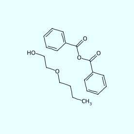 CCCCOCCO.O=C(OC(=O)c1ccccc1)c1ccccc1